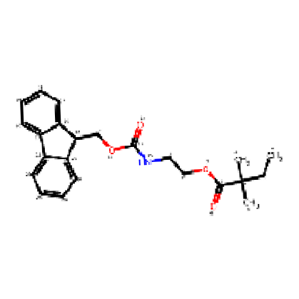 CCC(C)(C)C(=O)OCCNC(=O)OCC1c2ccccc2-c2ccccc21